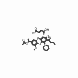 CCCc1noc2cc(F)c(Oc3ccc(C(C)OC(C)=O)cc3OC)c(N3CCCCC3)c12.O=C(O)C=CC(=O)O